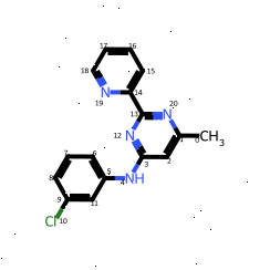 Cc1cc(Nc2cccc(Cl)c2)nc(-c2ccccn2)n1